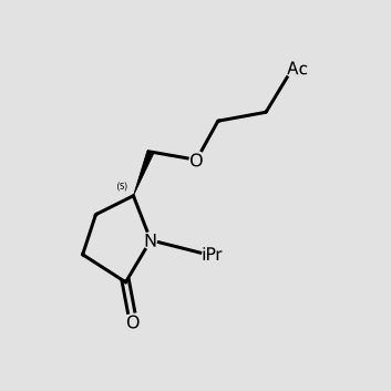 CC(=O)CCOC[C@@H]1CCC(=O)N1C(C)C